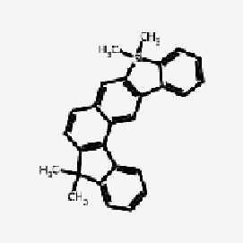 CC1(C)c2ccccc2-c2c1ccc1cc3c(cc21)-c1ccccc1[Si]3(C)C